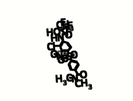 CN(C)C(=O)c1ccc(S(=O)(=O)c2ccc(NC(=O)[C@@](C)(O)C(F)(F)F)c(Cl)c2[N+](=O)[O-])cc1